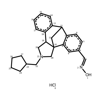 Cl.ON=Cc1ccc2c(c1)C13CC2c2ccccc2C1CN(CC1CCCC1)C3